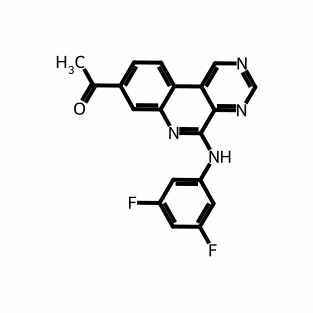 CC(=O)c1ccc2c(c1)nc(Nc1cc(F)cc(F)c1)c1ncncc12